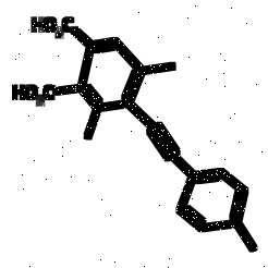 Cc1ccc(C#Cc2c(C)cc(C(=O)O)c(C(=O)O)c2C)cc1